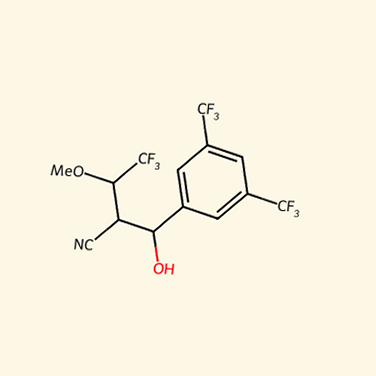 COC(C(C#N)C(O)c1cc(C(F)(F)F)cc(C(F)(F)F)c1)C(F)(F)F